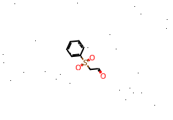 O=CCS(=O)(=O)c1ccccc1